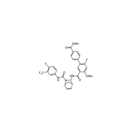 COC(=O)c1ccc(-c2cc(C(=O)NC3C4C=CC(C4)N3C(=O)Nc3ccc(F)c(C(F)(F)F)c3)c(OC)cc2F)cc1